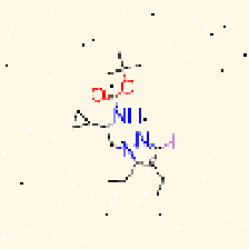 CCc1c(I)nn(CC(NC(=O)OC(C)(C)C)C2CC2)c1CC